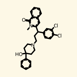 Cn1c(C(CCN2CCC(O)(c3ccccc3)CC2)c2ccc(Cl)c(Cl)c2)cc2ccccc2c1=O